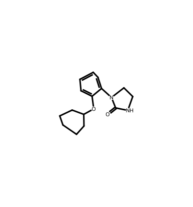 O=C1NCCN1c1ccccc1OC1CCCCC1